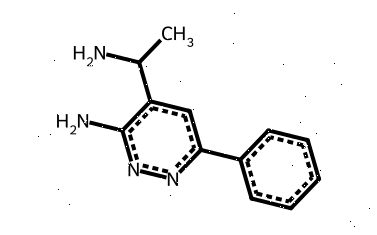 CC(N)c1cc(-c2ccccc2)nnc1N